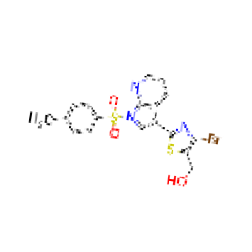 Cc1ccc(S(=O)(=O)n2cc(-c3nc(Br)c(CO)s3)c3cccnc32)cc1